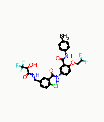 Bc1ccc(NC(=O)c2cc(NC(=O)c3cc(CNC(=O)C(O)C(F)(F)F)ccc3Cl)ccc2OCC(F)F)cc1